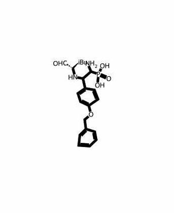 CC[C@H](C)[C@@H](C=O)NC(c1ccc(OCc2ccccc2)cc1)C(N)P(=O)(O)O